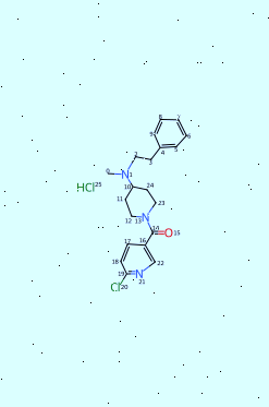 CN(CCc1ccccc1)C1CCN(C(=O)c2ccc(Cl)nc2)CC1.Cl